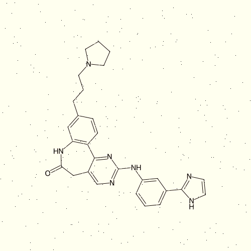 O=C1Cc2cnc(Nc3cccc(-c4ncc[nH]4)c3)nc2-c2ccc(CCCN3CCCC3)cc2N1